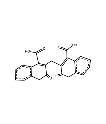 O=C(O)C1=C(CC2=C(C(=O)O)c3ccccc3CC2=O)C(=O)Cc2ccccc21